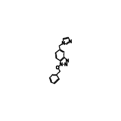 c1ccc(COn2nnc3cc(Cn4ccnc4)ccc32)cc1